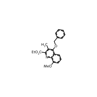 CCOC(=O)c1nc2c(OC)cccc2c(OCc2ccccc2)c1C